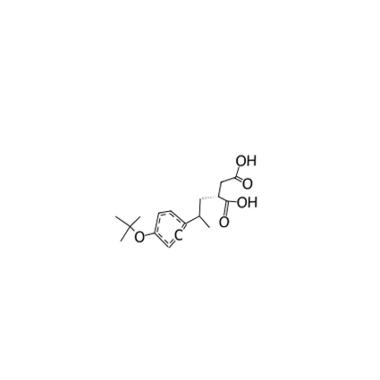 CC(C[C@H](CC(=O)O)C(=O)O)c1ccc(OC(C)(C)C)cc1